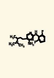 CC(CCc1cnc(Nc2c(F)cccc2F)nc1N)N(C)C